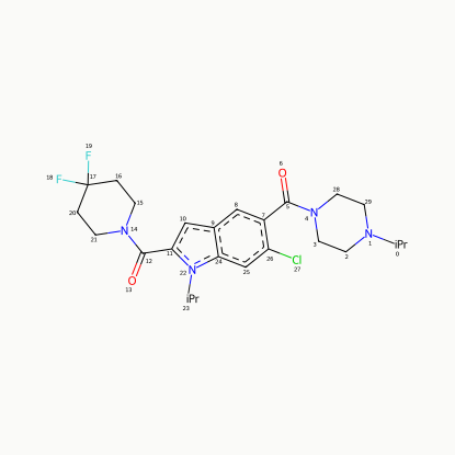 CC(C)N1CCN(C(=O)c2cc3cc(C(=O)N4CCC(F)(F)CC4)n(C(C)C)c3cc2Cl)CC1